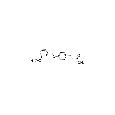 COc1cccc(COc2ccc(CCC(C)=O)cc2)c1